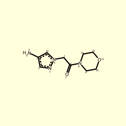 Nc1cnn(CC(=O)N2CCOCC2)c1